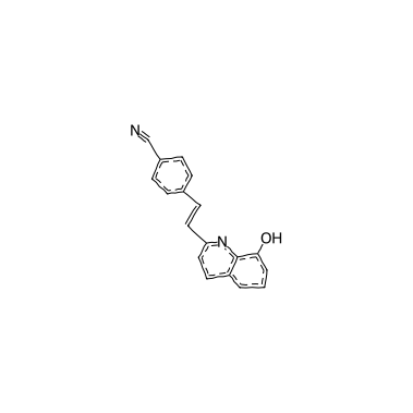 N#Cc1ccc(C=Cc2ccc3cccc(O)c3n2)cc1